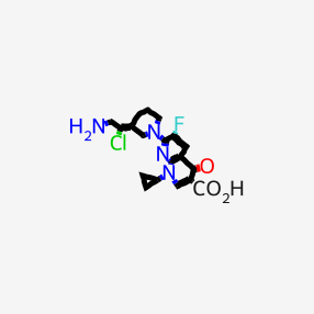 NCC(Cl)=C1CCCN(c2nc3c(cc2F)c(=O)c(C(=O)O)cn3C2CC2)C1